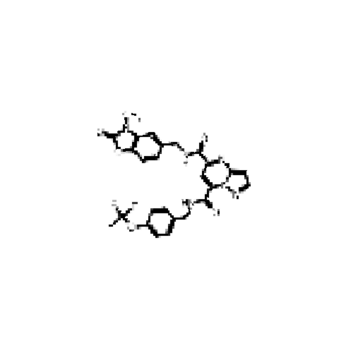 Cn1c(=O)oc2ccc(CNC(=O)c3cc(C(=O)NCc4ccc(OC(F)(F)F)cc4)n4nccc4n3)cc21